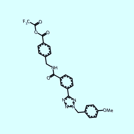 COc1ccc(Cn2nnc(-c3cccc(C(=O)NCc4ccc(C(=O)OC(=O)C(F)(F)F)cc4)c3)n2)cc1